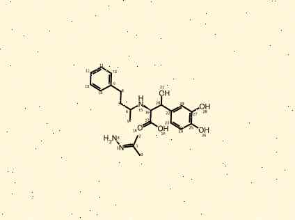 CC(C)=NN.CC(CCc1ccccc1)N[C@H](C(=O)O)C(O)c1ccc(O)c(O)c1